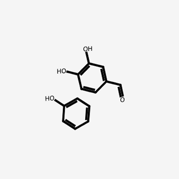 O=Cc1ccc(O)c(O)c1.Oc1ccccc1